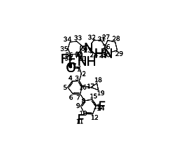 O=C(Cc1cccc(-c2cc(F)cc(F)c2)c1C1CC1)N[C@@H]1[C@@H](N2CCC3(CCCN3)CC2)CCCC1(F)F